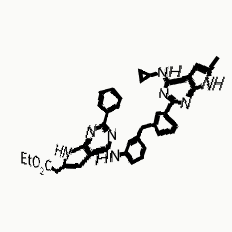 CCOC(=O)Cc1cc2c(Nc3cccc(Cc4cccc(-c5nc(NC6CC6)c6cc(C)[nH]c6n5)c4)c3)nc(-c3ccccc3)nc2[nH]1